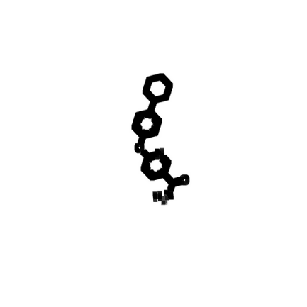 NC(=O)c1ccc(Oc2ccc(C3CCCCC3)cc2)nc1